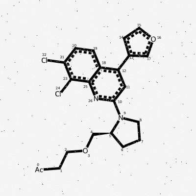 CC(=O)CCOC[C@@H]1CCCN1c1cc(-c2ccoc2)c2ccc(Cl)c(Cl)c2n1